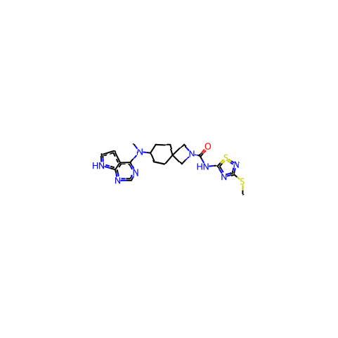 CSc1nsc(NC(=O)N2CC3(CCC(N(C)c4ncnc5[nH]ccc45)CC3)C2)n1